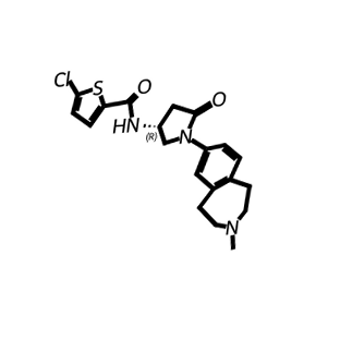 CN1CCc2ccc(N3C[C@H](NC(=O)c4ccc(Cl)s4)CC3=O)cc2CC1